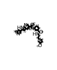 CO[C@H]1CCN(CCNC(=O)c2ccc(F)c(NC(=O)c3cnc4[nH]c(-c5cnn(C)c5)cc4c3)c2)C1